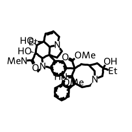 CCC1(O)CC2C[N@](CCc3c([nH]c4ccccc34)C(C(=O)OC)(c3cc4c(cc3OC)N(C)C3C45CCN4CC=C[C@](CC)(C45)[C@@H](O)[C@]3(O)C(=O)NC)C2)C1